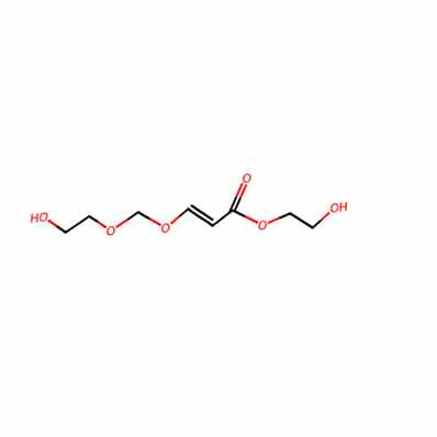 O=C(/C=C/OCOCCO)OCCO